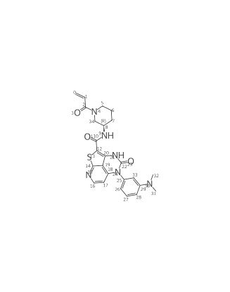 C=CC(=O)N1CCC[C@@H](NC(=O)c2sc3nccc4c3c2NC(=O)N4c2cccc(N(C)C)c2)C1